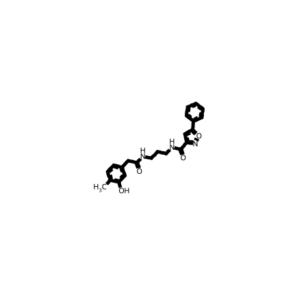 Cc1ccc(CC(=O)NCCCNC(=O)c2cc(-c3ccccc3)on2)cc1O